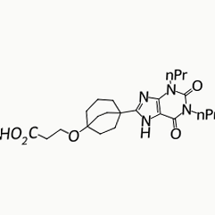 CCCn1c(=O)c2[nH]c(C34CCCC(OCCC(=O)O)(CC3)CC4)nc2n(CCC)c1=O